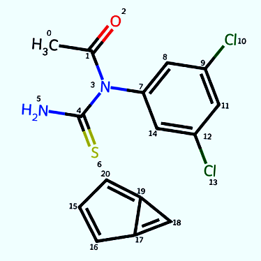 CC(=O)N(C(N)=S)c1cc(Cl)cc(Cl)c1.c1cc2cc-2c1